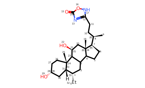 CC[C@H]1CC2C3CC[C@H]([C@H](C)CCc4nc(=O)o[nH]4)[C@@]3(C)C[C@H](O)C2[C@@]2(C)CC[C@@H](O)C[C@@H]12